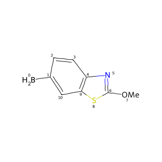 Bc1ccc2nc(OC)sc2c1